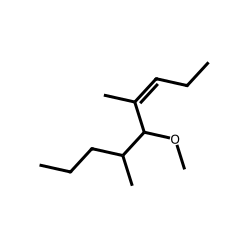 CCC=C(C)C(OC)C(C)CCC